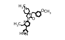 CCc1nc(N2CC3(CCN(C)CC3)N(Cc3cccc(OC)c3)C2=O)ccc1-c1cn[nH]c1